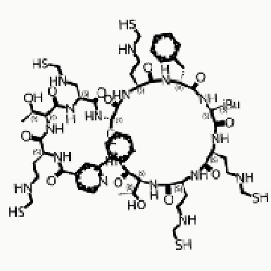 CC[C@H](C)[C@@H]1NC(=O)[C@@H](Cc2ccccc2)NC(=O)[C@H](CCNCS)NC(=O)[C@@H](NC(=O)[C@H](CNCS)NC(=O)[C@@H](NC(=O)[C@H](CCNCS)NC(=O)c2ccnc(-c3ccccc3)c2)[C@@H](C)O)CCNC(=O)[C@H]([C@@H](C)O)NC(=O)[C@H](CCNCS)NC(=O)[C@H](CCNCS)NC1=O